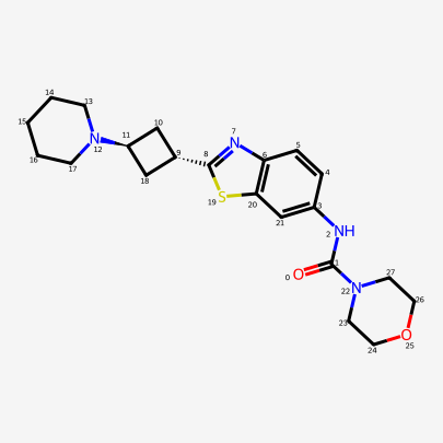 O=C(Nc1ccc2nc([C@H]3C[C@H](N4CCCCC4)C3)sc2c1)N1CCOCC1